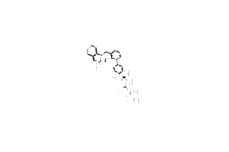 CCNC(=O)Nc1nc2cc(-c3cccc(Cc4n[nH]c(=O)c5c4=CCCC=5)c3F)ccc2[nH]1